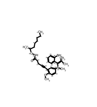 CCCCCCC(C)ONC(=O)CCC#Cc1cc(N(C)C(=C(C)C)c2ccccc2N)ccc1OC